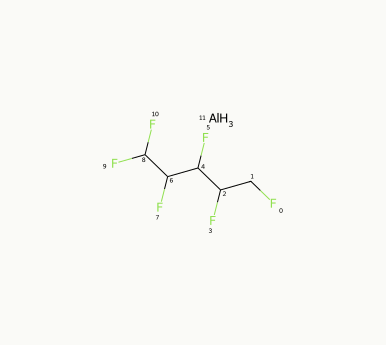 FCC(F)C(F)C(F)C(F)F.[AlH3]